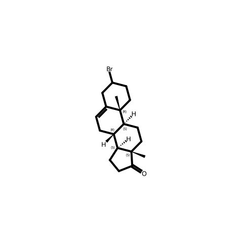 C[C@]12CCC(Br)CC1=CC[C@@H]1[C@@H]2CC[C@]2(C)C(=O)CC[C@@H]12